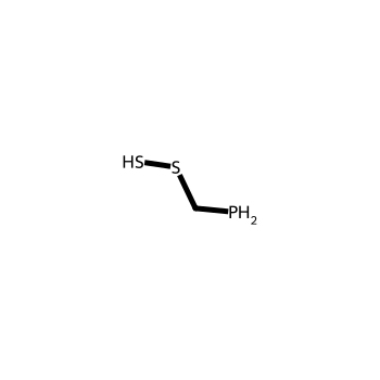 PCSS